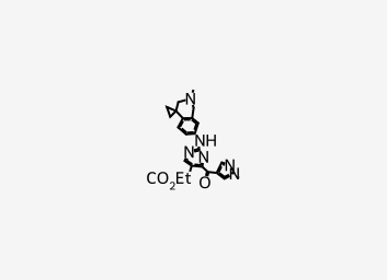 CCOC(=O)c1cnc(Nc2ccc3c(c2)CN(C)CC32CC2)nc1C(=O)c1cnn(C)c1